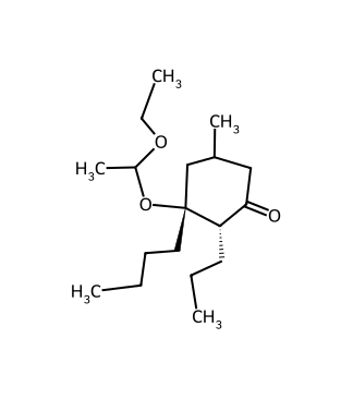 CCCC[C@@]1(OC(C)OCC)CC(C)CC(=O)[C@@H]1CCC